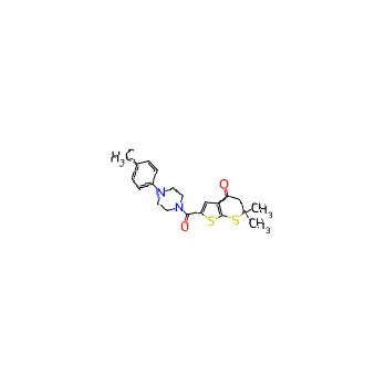 Cc1ccc(N2CCN(C(=O)c3cc4c(s3)SC(C)(C)CC4=O)CC2)cc1